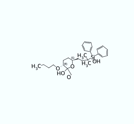 CCCCO[C@@H]1CC[C@@H](CCC(C)(C)[Si](O)(c2ccccc2)c2ccccc2)OC1(O)C=O